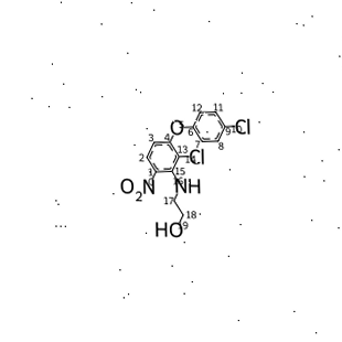 O=[N+]([O-])c1ccc(Oc2ccc(Cl)cc2)c(Cl)c1NCCO